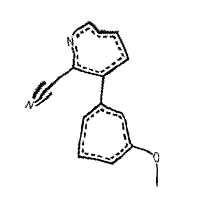 COc1cccc(-c2cccnc2C#N)c1